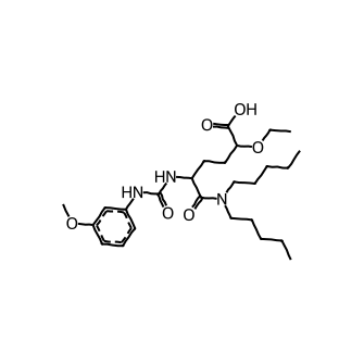 CCCCCN(CCCCC)C(=O)C(CCC(OCC)C(=O)O)NC(=O)Nc1cccc(OC)c1